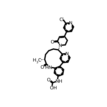 C[C@@H]1CCC[C@H](N2CCC(c3ccnc(Cl)c3)=CC2=O)c2cc(ccn2)-c2ccc(NC(=O)O)cc2NC1=O